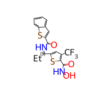 CC[C@H](NC(=O)c1cc2ccccc2s1)c1cc(C(F)(F)F)c(C(=O)NO)s1